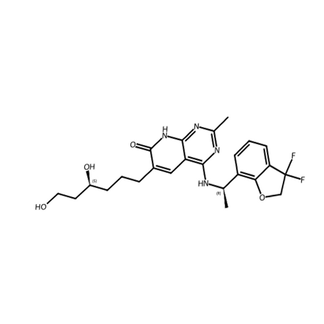 Cc1nc(N[C@H](C)c2cccc3c2OCC3(F)F)c2cc(CCC[C@H](O)CCO)c(=O)[nH]c2n1